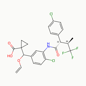 C=COC(c1ccc(Cl)c(NC(=O)[C@H](c2ccc(Cl)cc2)[C@@H](C)C(F)(F)F)c1)C1(C(=O)O)CC1